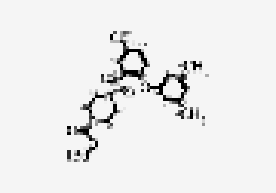 Cc1cc(C)cc(Oc2ccc(Cl)cc2S(=O)(=O)N2CCN(C(=O)OC(C)(C)C)CC2)c1